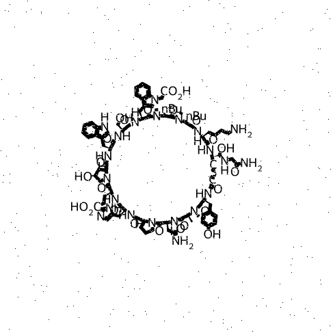 CCCC[C@H]1C(=O)N(C)[C@@H](CCCC)C(=O)N[C@@H](CCCCN)C(=O)N[C@H](C(O)NCC(N)=O)CSCC(=O)N[C@@H](Cc2ccc(O)cc2)C(=O)N(C)[C@@H](C)C(=O)N[C@@H](CC(N)=O)C(=O)N2CCC[C@H]2C(=O)N[C@@H](Cc2cnc[nH]2)C(=O)N[C@@H](CCC(=O)O)C(=O)N2C[C@H](O)C[C@H]2C(=O)N[C@@H](Cc2c[nH]c3ccccc23)C(=O)N[C@@H](CO)C(=O)N[C@@H](Cc2cn(CC(=O)O)c3ccccc23)C(=O)N1C